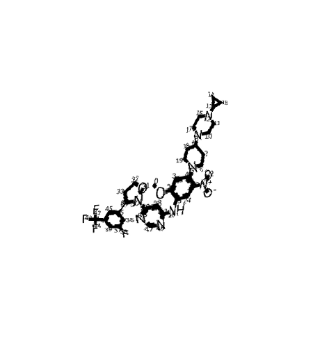 COc1cc(N2CCC(N3CCN(C4CC4)CC3)CC2)c([N+](=O)[O-])cc1Nc1cc(N2OCC[C@@H]2c2cc(F)cc(C(F)(F)F)c2)ncn1